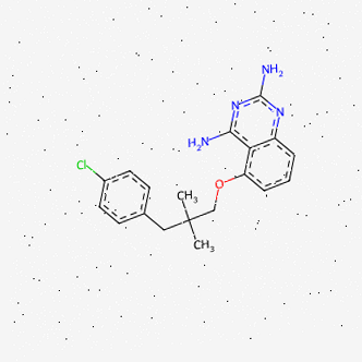 CC(C)(COc1cccc2nc(N)nc(N)c12)Cc1ccc(Cl)cc1